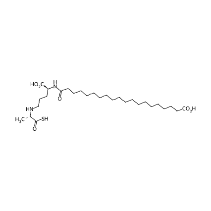 C[C@H](NCCC[C@H](NC(=O)CCCCCCCCCCCCCCCCCCC(=O)O)C(=O)O)C(=O)S